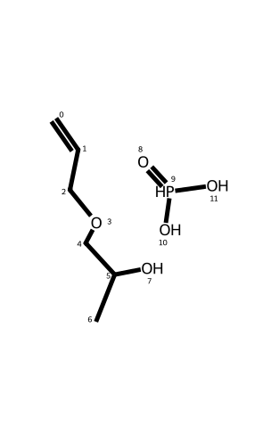 C=CCOCC(C)O.O=[PH](O)O